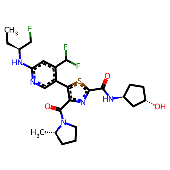 CC[C@@H](CF)Nc1cc(C(F)F)c(-c2sc(C(=O)N[C@H]3CC[C@H](O)C3)nc2C(=O)N2CCC[C@@H]2C)cn1